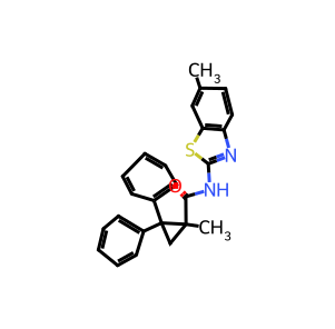 Cc1ccc2nc(NC(=O)C3(C)CC3(c3ccccc3)c3ccccc3)sc2c1